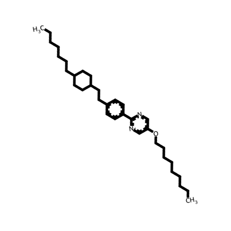 CCCCCCCCCOc1cnc(-c2ccc(CCC3CCC(CCCCCCC)CC3)cc2)nc1